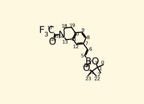 CC1(C)OB(C=Cc2ccc3c(c2)CN(C(=O)C(F)(F)F)CC3)OC1(C)C